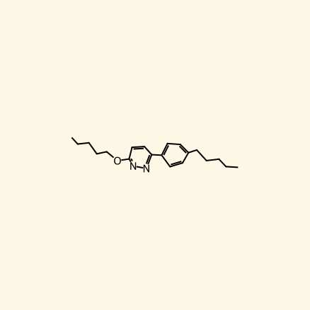 CCCCCOc1ccc(-c2ccc(CCCCC)cc2)nn1